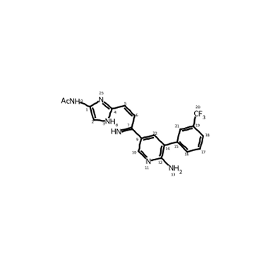 CC(=O)Nc1c[nH]c(/C=C\C(=N)c2cnc(N)c(-c3cccc(C(F)(F)F)c3)c2)n1